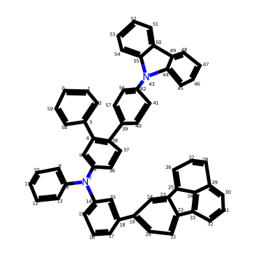 c1ccc(-c2cc(N(c3ccccc3)c3cccc(-c4ccc5c(c4)-c4cccc6cccc-5c46)c3)ccc2-c2ccc(-n3c4ccccc4c4ccccc43)cc2)cc1